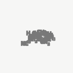 CC[C@H]1OC(=O)[C@H](C)C[C@H](C)[C@@H](O[C@@H]2O[C@H](C)C[C@H](N(C)CCc3cn(Cc4ccc(C#N)cc4)nn3)[C@H]2O)[C@](C)(OC)C[C@@H](C)C(=O)[C@H](C)[C@@H](O)[C@]1(C)O